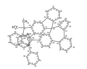 CC1(C)c2ccccc2-c2cc3c(cc21)-c1ccccc1C31c2ccccc2-c2ccccc2-c2ccc(-c3nc4ccccc4n3-c3ccccc3)cc21